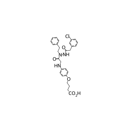 O=C(O)CCCOc1ccc(NCC(=O)N(CCc2ccccc2)NC(=O)Cc2cccc(Cl)c2)cc1